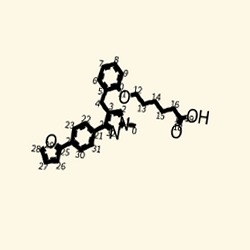 Cn1cc(Cc2ccccc2OCCCCCC(=O)O)c(-c2ccc(-c3ccco3)cc2)n1